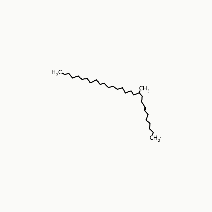 [CH2]CCCCC/C=C/CCC(C)CCCCCCCCCCCCCCCCC[CH2]